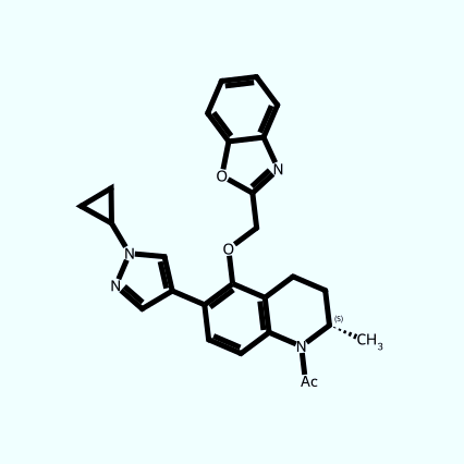 CC(=O)N1c2ccc(-c3cnn(C4CC4)c3)c(OCc3nc4ccccc4o3)c2CC[C@@H]1C